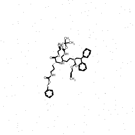 C=CCOC(=O)[C@@H](CCCNC(=O)OCc1ccccc1)NC(CCN(CC(c1ccccc1)c1ccccc1)C(=O)OCC=C)CNC(=O)OC(C)(C)C